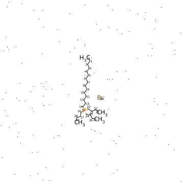 CCCCCCCCCCCCCCC[P+](CCCC)(CCCC)CCCC.[Br-]